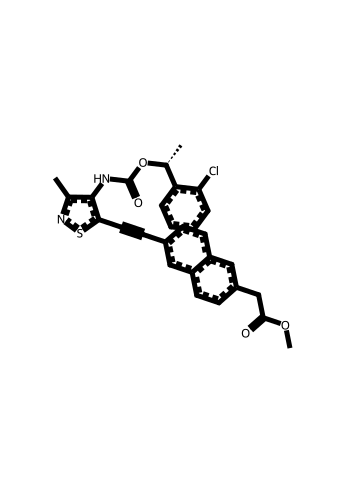 COC(=O)Cc1ccc2cc(C#Cc3snc(C)c3NC(=O)O[C@H](C)c3ccccc3Cl)ccc2c1